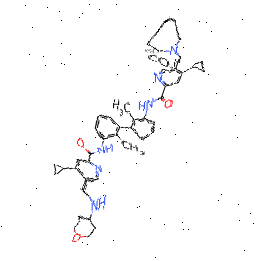 Cc1c(NC(=O)c2cc(C3CC3)c(CNC3CCOCC3)cn2)cccc1-c1cccc(NC(=O)c2cc(C3CC3)c(CN3CCCC[C@H]3C(=O)O)cn2)c1C